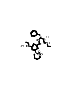 CCNC[C@@H](O)[C@H](Cc1ccccc1)NC(=O)c1cc(NCC)cc(N2CCCCS2(=O)=O)c1.Cl